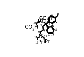 Cc1ccc(C(O)(CCCN(CC(C)C)CC(C)C)c2ccccc2)cc1.O=C(O)C=CC(=O)O